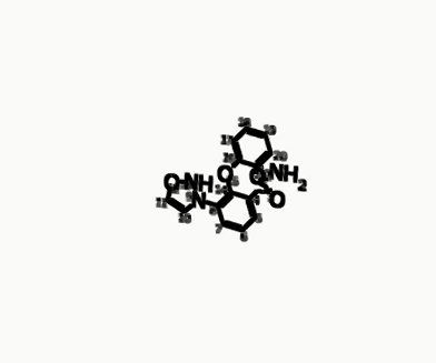 NS(=O)(=O)c1cccc(N2C=CON2)c1Oc1ccccc1